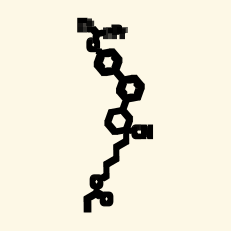 C=CC(=O)OCCCCCC1(C#N)CCCC(c2cccc(-c3ccc(OC(CC)CCC)cc3)c2)C1